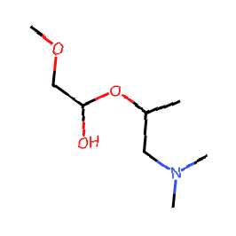 COCC(O)OC(C)CN(C)C